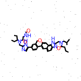 CCCC(=O)N(Cc1nc2ccc3cc4c(cc3c2[nH]1)OCc1cc(-c2cnc(CN(C(=O)CNC=O)C(CC)CC)[nH]2)ccc1-4)CC(C)C